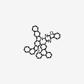 c1ccc2cc3c(cc2c1)c1cc2c(cc1n3-c1nc3oc4ccccc4c3nc1-c1ccc3c4ccccc4c4ccccc4c3c1)sc1ccc3ccccc3c12